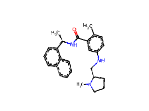 Cc1ccc(NC[C@H]2CCCN2C)cc1C(=O)N[C@H](C)c1cccc2ccccc12